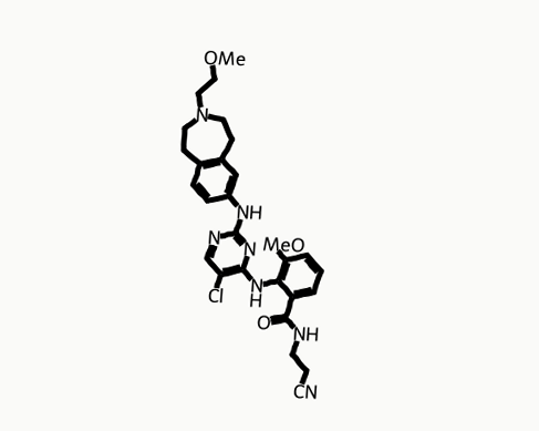 COCCN1CCc2ccc(Nc3ncc(Cl)c(Nc4c(OC)cccc4C(=O)NCCC#N)n3)cc2CC1